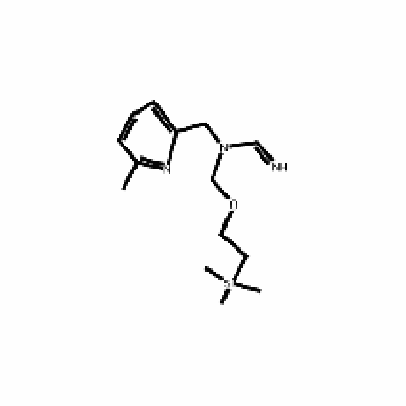 Cc1cccc(CN(C=N)COCC[Si](C)(C)C)n1